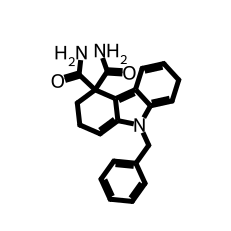 NC(=O)C1(C(N)=O)CCC=c2c1c1c(n2Cc2ccccc2)=CCC=C1